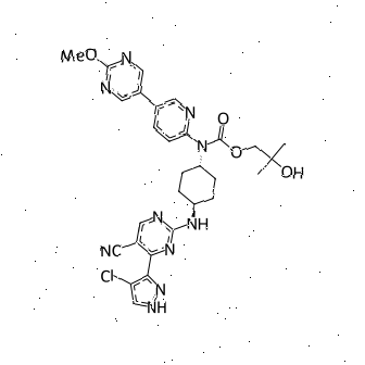 COc1ncc(-c2ccc(N(C(=O)OCC(C)(C)O)[C@H]3CC[C@H](Nc4ncc(C#N)c(-c5n[nH]cc5Cl)n4)CC3)nc2)cn1